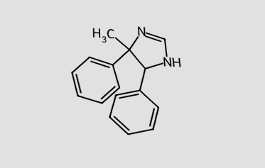 CC1(c2ccccc2)N=CNC1c1ccccc1